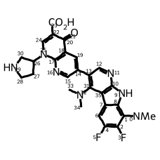 CNc1c(F)c(F)cc2c1[nH]c1ncc(-c3cnc4c(c3)c(=O)c(C(=O)O)cn4C3CCNC3)c(N(C)C)c12